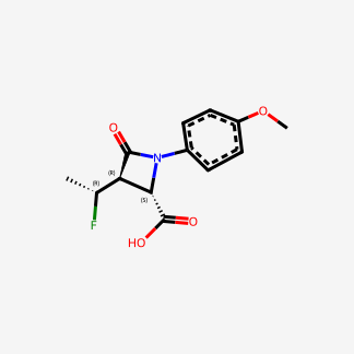 COc1ccc(N2C(=O)[C@H]([C@@H](C)F)[C@H]2C(=O)O)cc1